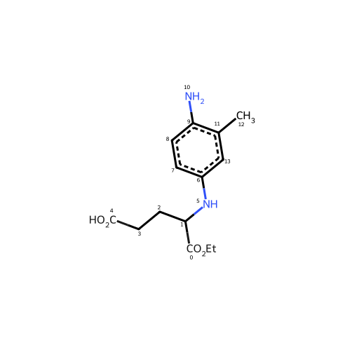 CCOC(=O)C(CCC(=O)O)Nc1ccc(N)c(C)c1